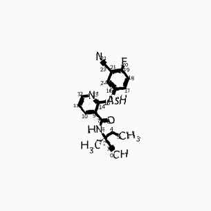 C#C[C@](C)(CC)NC(=O)c1cccnc1[AsH]c1ccc(F)c(C#N)c1